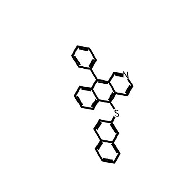 c1ccc(-c2c3ccccc3c(Sc3ccc4ccccc4c3)c3ccncc23)cc1